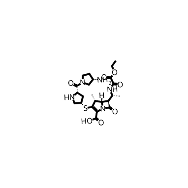 CCOC(=O)C(=O)N[C@H](C)[C@H]1C(=O)N2C(C(=O)O)=C(S[C@@H]3CN[C@H](C(=O)N4CC[C@H](N)C4)C3)[C@H](C)[C@H]12